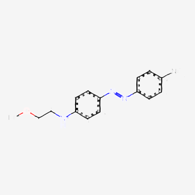 CCOCCNc1ccc(N=Nc2ccc([N+](=O)[O-])cc2)cc1